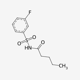 CCCCC(=O)NS(=O)(=O)c1cccc(F)c1